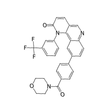 O=C(c1ccc(-c2ccc3ncc4ccc(=O)n(-c5cccc(C(F)(F)F)c5)c4c3c2)cc1)N1CCOCC1